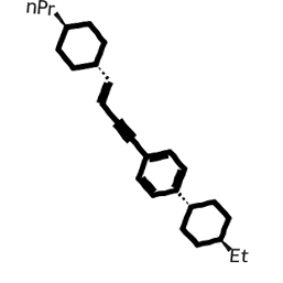 CCC[C@H]1CC[C@H](C=CC#Cc2ccc([C@H]3CC[C@H](CC)CC3)cc2)CC1